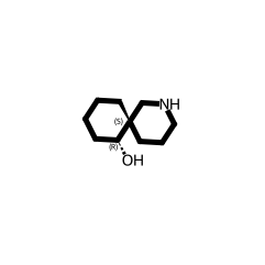 O[C@@H]1CCCC[C@@]12CCCNC2